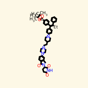 CC/C(=C(/c1ccc(B2OC(C)(C)C(C)(C)O2)cc1)c1ccc(N2CCC(CCN3CCN(c4ccc5c(c4)CN(C4CCC(=O)NC4=O)C5=O)CC3)CC2)cc1)c1ccccc1